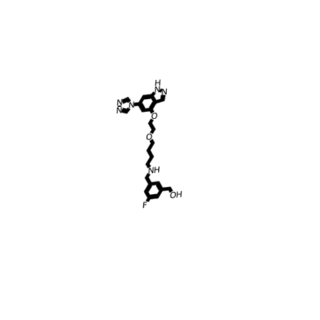 OCc1cc(F)cc(CNCCCCOCCOc2cc(-n3cnnc3)cc3[nH]ncc23)c1